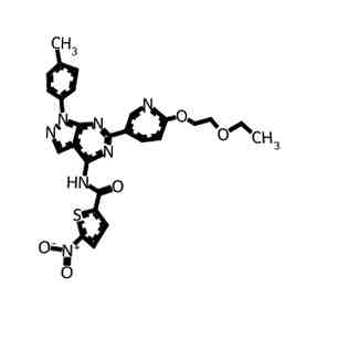 CCOCCOc1ccc(-c2nc(NC(=O)c3ccc([N+](=O)[O-])s3)c3cnn(-c4ccc(C)cc4)c3n2)cn1